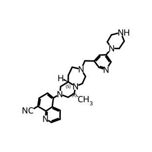 C[C@@H]1CN(c2ccc(C#N)c3ncccc23)C[C@@H]2CCN(Cc3cncc(N4CCNCC4)c3)CCN21